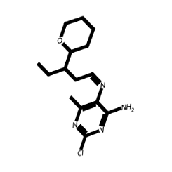 CCC(C/C=N\c1c(C)nc(Cl)nc1N)C1CCCCO1